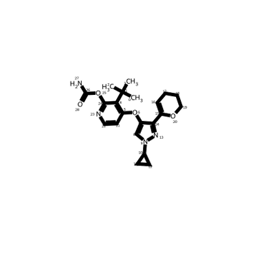 CC(C)(C)c1c(Oc2cn(C3CC3)nc2C2=CCCCO2)ccnc1OC(N)=O